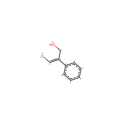 OCC(=CCl)c1ccccc1